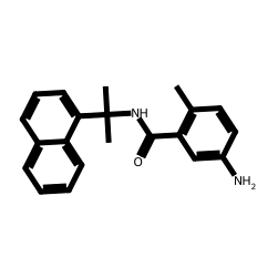 Cc1ccc(N)cc1C(=O)NC(C)(C)c1cccc2ccccc12